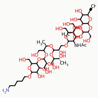 C#CC1OC(O[C@@H](CO)C(OC2C(O)C(CO)OC(OC[C@H](O)C(OC(CO)[C@@H](C)O)O[C@H](C)C(CO)OC(OC3C(CO)OC(OCCCCCN)C(O)C3O)[C@@H](O)CO)C2NC(C)=O)OC(CO)[C@@H](C)O)C(O)C(O)C1O